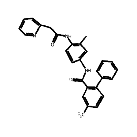 Cc1cc(NC(=O)c2cc(C(F)(F)F)ccc2-c2ccccc2)ccc1NC(=O)Cc1ccccn1